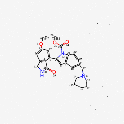 CCCOc1cc2c(c(-c3cc4cc(CN5CCCCC5)ccc4n3C(=O)OC(C)(C)C)c1)C(=O)NC2